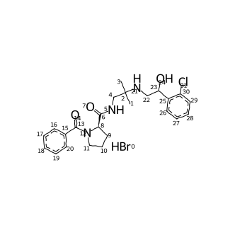 Br.CC(C)(CNC(=O)[C@H]1CCCN1C(=O)c1ccccc1)NCC(O)c1ccccc1Cl